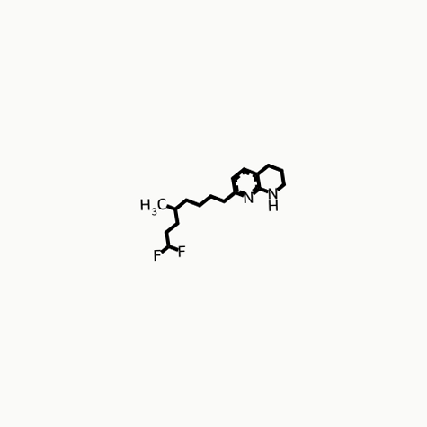 CC(CCCCc1ccc2c(n1)NCCC2)CCC(F)F